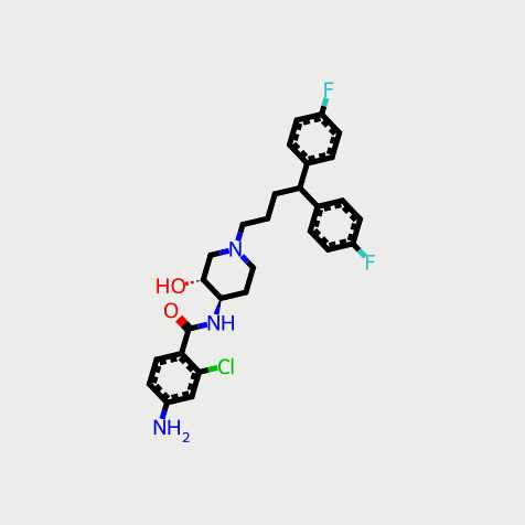 Nc1ccc(C(=O)N[C@@H]2CCN(CCCC(c3ccc(F)cc3)c3ccc(F)cc3)C[C@H]2O)c(Cl)c1